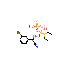 CCS(CC)=P(O)(ON=C(C#N)c1cccc(Br)c1)OP(O)(O)=S